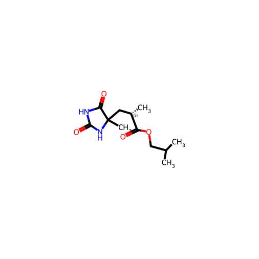 CC(C)COC(=O)[C@@H](C)CC1(C)NC(=O)NC1=O